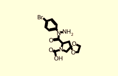 NN(C(=O)C1CC2(CN1C(=O)O)OCCO2)c1ccc(Br)cc1